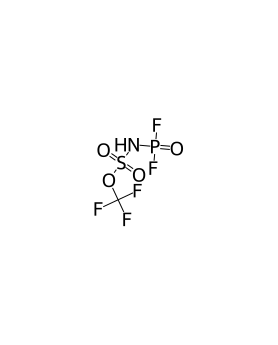 O=P(F)(F)NS(=O)(=O)OC(F)(F)F